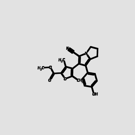 COC(=O)c1oc(C)c(-c2c(-c3ccc(O)cc3)c3n(c2C#N)CCC3)c1C